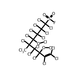 O=S(=O)(F)C(Cl)(Cl)C(Cl)(Cl)C(Cl)(Cl)C(Cl)(OCl)C(Cl)(C(Cl)(Cl)Cl)C(Cl)(Cl)C(Cl)(OCl)C(Cl)=C(Cl)Cl